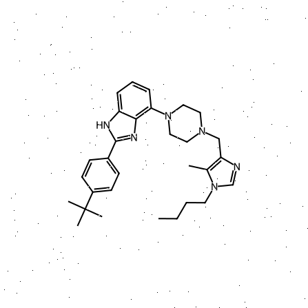 CCCCn1cnc(CN2CCN(c3cccc4[nH]c(-c5ccc(C(C)(C)C)cc5)nc34)CC2)c1C